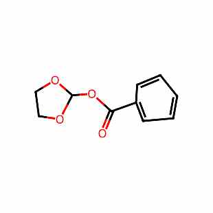 O=C(OC1OCCO1)c1ccccc1